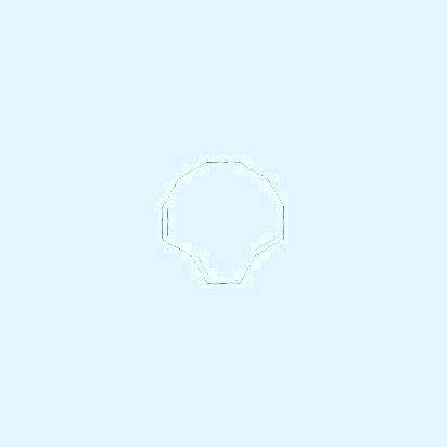 [C]1=C/C=C\CCCCC/C=C/C/1